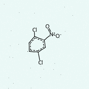 O=[N+]([O-])c1cc(Cl)[c]cc1Cl